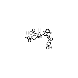 CCOC(=O)N1CCN(C(=O)[C@H](CCC(=O)O)NC(=O)c2cc(OCC(=O)N3CCC(O)CC3)c3c(F)cccc3n2)CC1